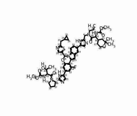 CCCN(Cc1ncc(-c2ccc3c(c2)cc2n3C(c3cnc(CC4CC4)s3)Oc3cc(-c4cnc([C@@H]5CCCN5C(=O)C(NC(=O)OC)C(C)C)[nH]4)cc(F)c3-2)[nH]1)C(=O)C(NC(=O)OC)C1CCOC(C)(C)C1